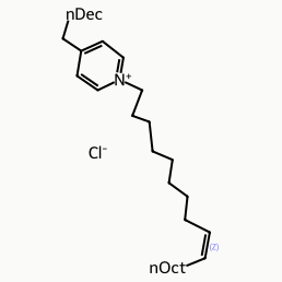 CCCCCCCC/C=C\CCCCCCCC[n+]1ccc(CCCCCCCCCCC)cc1.[Cl-]